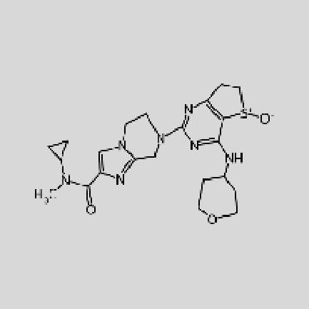 CN(C(=O)c1cn2c(n1)CN(c1nc3c(c(NC4CCOCC4)n1)[S+]([O-])CC3)CC2)C1CC1